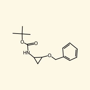 CC(C)(C)OC(=O)NC1CC1OCc1ccccc1